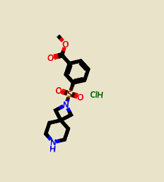 COC(=O)c1cccc(S(=O)(=O)N2CC3(CCNCC3)C2)c1.Cl